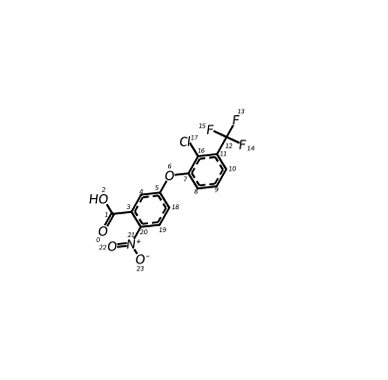 O=C(O)c1cc(Oc2cccc(C(F)(F)F)c2Cl)ccc1[N+](=O)[O-]